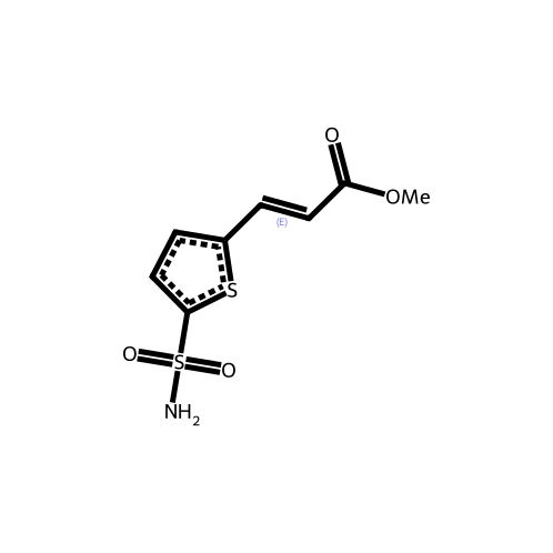 COC(=O)/C=C/c1ccc(S(N)(=O)=O)s1